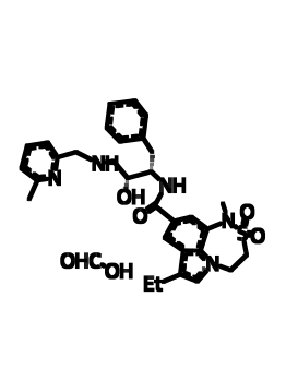 CCc1cn2c3c(cc(C(=O)N[C@@H](Cc4ccccc4)[C@H](O)CNCc4cccc(C)n4)cc13)N(C)S(=O)(=O)CC2.O=CO